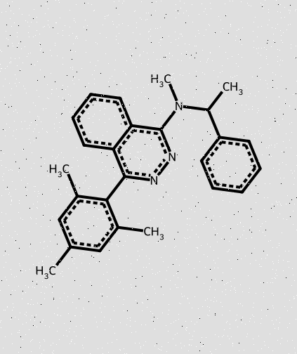 Cc1cc(C)c(-c2nnc(N(C)C(C)c3ccccc3)c3ccccc23)c(C)c1